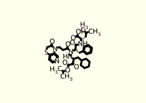 CC(C)C[C@H](NC(=O)[C@H](Cc1ccccc1)N(NC(CC1CCCCC1)C(=O)C(=O)OC(C)C)C(=O)CCN1C(=O)CSc2ccncc21)C(=O)O